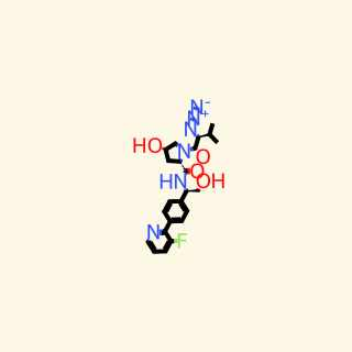 CC(C)[C@H](N=[N+]=[N-])C(=O)N1C[C@H](O)C[C@H]1C(=O)N[C@@H](CO)c1ccc(-c2ncccc2F)cc1